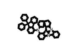 c1ccc(N(c2cccc3c2-c2ccccc2C3(c2ccccc2)c2ccccc2)c2cccc3c2c2c4ccccc4n4c5ccccc5n3c24)cc1